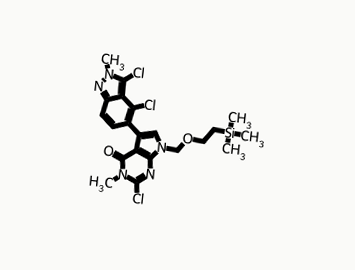 Cn1nc2ccc(-c3cn(COCC[Si](C)(C)C)c4nc(Cl)n(C)c(=O)c34)c(Cl)c2c1Cl